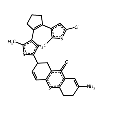 Cc1sc(Cl)cc1C1=C(c2cc(C3C=Cc4sc5c(c(=O)c4C3)C=C(N)CC5)sc2C)CCC1